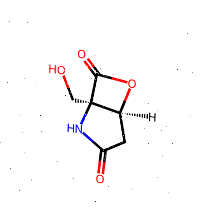 O=C1C[C@@H]2OC(=O)[C@]2(CO)N1